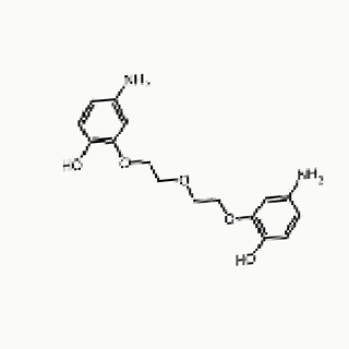 Nc1ccc(O)c(OCCOCCOc2cc(N)ccc2O)c1